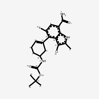 Cc1[nH]c2c(C(N)=O)cc(F)c(C3=CCCC(NC(=O)OC(C)(C)C)C3)c2c1Cl